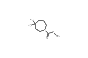 CC(C)(C)OC(=O)N1CCCC(O)(C#N)CC1